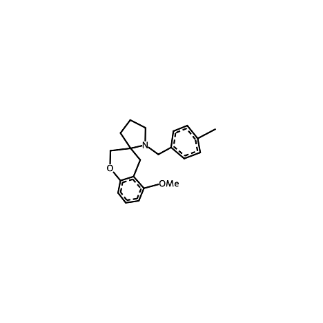 COc1cccc2c1CC1(CCCN1Cc1ccc(C)cc1)CO2